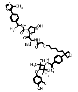 Cc1ncsc1-c1ccc([C@H](C)NC(=O)[C@@H]2C[C@@H](O)CN2C(=O)[C@@H](NC(=O)COCCCCCC2(c3ccc(C(=O)N[C@H]4C(C)(C)[C@H](Oc5ccc(C#N)c(Cl)c5)C4(C)C)cc3)COC2)C(C)(C)C)cc1